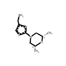 BCc1csc(N2C[C@@H](C)O[C@@H](C)C2)n1